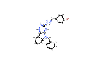 Brc1ccc(C=NNc2nnc3c4ccccc4n(Cc4ccccc4)c3n2)cc1